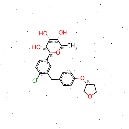 [CH2][C@H]1O[C@@H](c2ccc(Cl)c(Cc3ccc(O[C@@H]4CCOC4)cc3)c2)[C@H](O)[C@H](O)[C@@H]1O